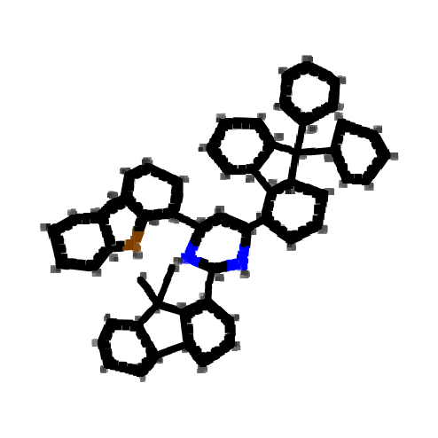 CC1(C)c2ccccc2-c2cccc(-c3nc(-c4cccc5c4-c4ccccc4C5(c4ccccc4)c4ccccc4)cc(-c4cccc5c4sc4ccccc45)n3)c21